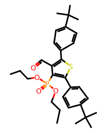 CCCOP(=O)(OCCC)c1c(-c2ccc(C(C)(C)C)cc2)sc(-c2ccc(C(C)(C)C)cc2)c1C=O